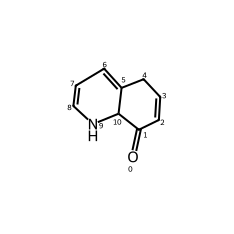 O=C1C=CCC2=CC=CNC12